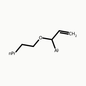 C=C[CH]([Al])OCCCCC